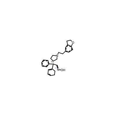 O/N=C/C(C1=CC=CCC1)(c1ccccc1)[C@@H]1CCN(CCc2ccc3c(c2)CCO3)C1